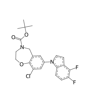 CC(C)(C)OC(=O)N1CCOc2c(Cl)cc(-n3ccc4c(F)c(F)ccc43)cc2C1